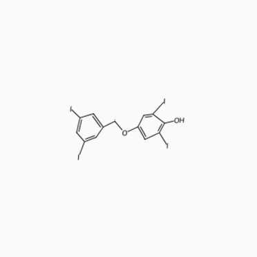 Oc1c(I)cc(O[CH]c2cc(I)cc(I)c2)cc1I